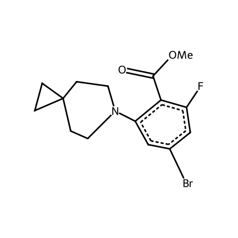 COC(=O)c1c(F)cc(Br)cc1N1CCC2(CC1)CC2